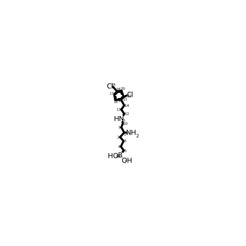 NC(CCCCB(O)O)CCNCCCc1ccc(Cl)cc1Cl